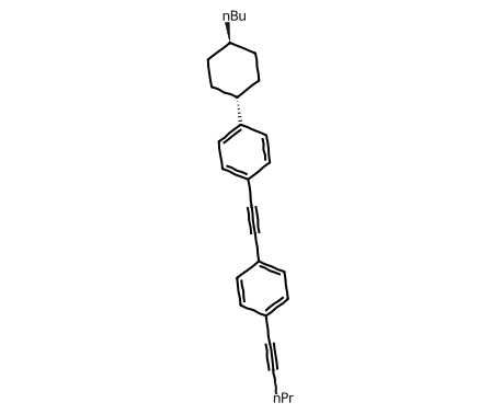 CCCC#Cc1ccc(C#Cc2ccc([C@H]3CC[C@H](CCCC)CC3)cc2)cc1